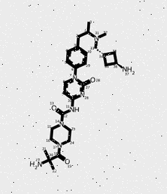 CC(Cc1ccc(-n2ccc(NC(=O)N3CCN(C(=O)C(C)(C)N)CC3)nc2=O)cc1)N(C)C[C@H]1C[C@H](N)C1